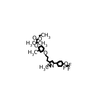 CCOC(=O)C(C)(C)Oc1ccc(OCCCc2cc(-c3ccc(OC(F)(F)F)cc3)nn2C)cc1C